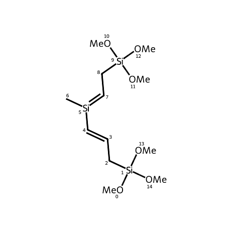 CO[Si](CC=C[Si](C)=CC[Si](OC)(OC)OC)(OC)OC